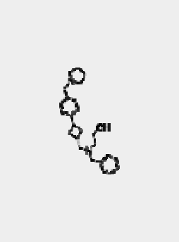 OCCN(Cc1ccccc1)C[C@H]1C[C@H](c2ccc(CN3CCCC3)cc2)C1